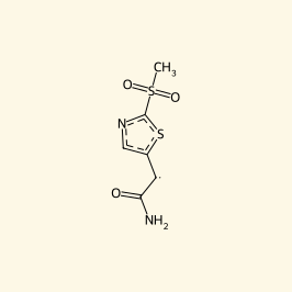 CS(=O)(=O)c1ncc([CH]C(N)=O)s1